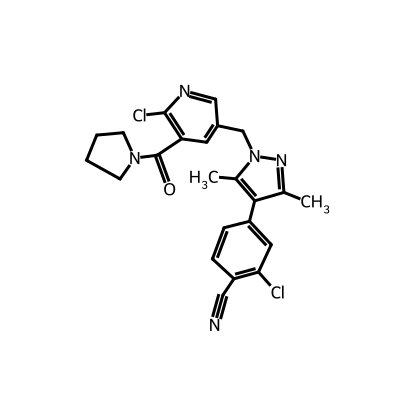 Cc1nn(Cc2cnc(Cl)c(C(=O)N3CCCC3)c2)c(C)c1-c1ccc(C#N)c(Cl)c1